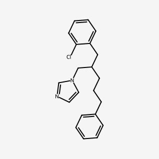 Clc1ccccc1CC(CCCc1ccccc1)Cn1ccnc1